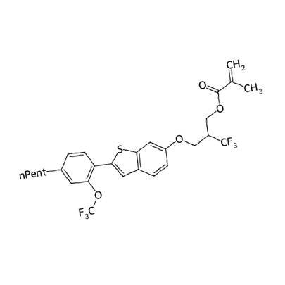 C=C(C)C(=O)OCC(COc1ccc2cc(-c3ccc(CCCCC)cc3OC(F)(F)F)sc2c1)C(F)(F)F